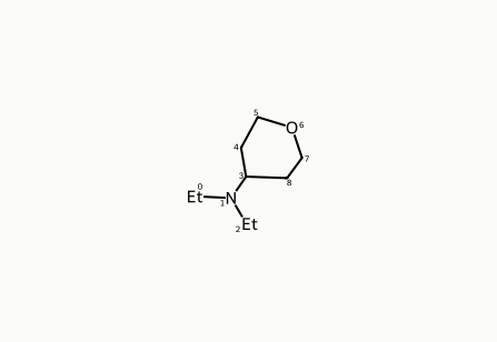 CCN(CC)C1CCOCC1